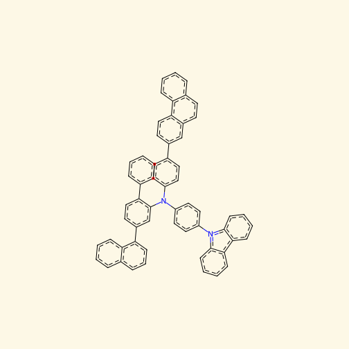 c1ccc(-c2ccc(-c3cccc4ccccc34)cc2N(c2ccc(-c3ccc4c(ccc5ccccc54)c3)cc2)c2ccc(-n3c4ccccc4c4ccccc43)cc2)cc1